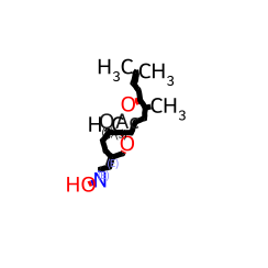 CC(=O)O[C@@H]1CC/C(=C\C=N\O)CO[C@@]1(C)CCCC(C)C(=O)CC=C(C)C